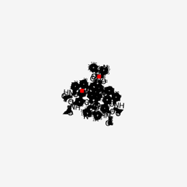 O=C(NCC1CO1)c1cccc(-c2cccc(Oc3cc4c5c(cc(Oc6cccc(-c7cccc(C(=O)NCC8CO8)c7)c6)c6c7c(Oc8cccc(-c9cccc(C(=O)NCC%10CO%10)c9)c8)cc8c9c(cc(Oc%10cccc(-c%11cccc(C(=O)NCC%12CO%12)c%11)c%10)c(c3c56)c97)C(=O)N(C(Cc3ccncc3)C(=O)OC3CCCCC3)C8=O)C(=O)N(C(Cc3ccncc3)C(=O)OC3CCCCC3)C4=O)c2)c1